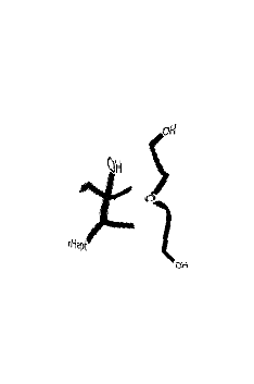 CCCCCCCC(C)C(C)(C)O.OCCOCCO